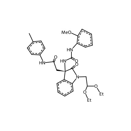 CCOC(CN1C(=O)[C@@](CC(=O)Nc2ccc(C)cc2)(NC(=O)Nc2ccccc2OC)c2ccccc21)OCC